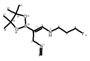 C=NC/C(=C\NCCCF)B1OC(C)(C)C(C)(C)O1